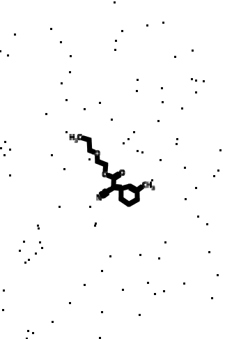 CCCOCCOC(=O)/C(C#N)=C1\C=C(C)CCC1